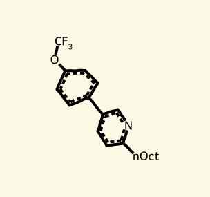 CCCCCCCCc1ccc(-c2ccc(OC(F)(F)F)cc2)cn1